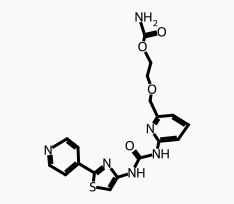 NC(=O)OCCOCc1cccc(NC(=O)Nc2csc(-c3ccncc3)n2)n1